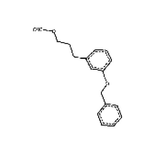 O=COCCCc1cccc(OCc2ccccc2)c1